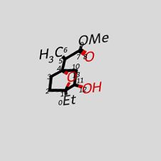 CCC12CCC(C(C)C(=O)OC)(CC1O)O2